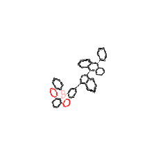 c1ccc(-c2c3ccccc3c(-c3ccc(-c4ccc5c(c4)B4c6ccccc6Oc6cccc(c64)O5)c4ccccc34)c3ccccc23)cc1